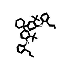 CC=Cc1ccccc1Oc1ccc(C2(c3ccc(Oc4ccccc4C=CC)c(C(C)(C)C)c3)CCCCC2)cc1C(C)(C)C